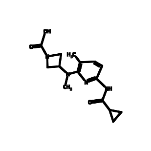 Cc1ccc(NC(=O)C2CC2)nc1N(C)C1CN(C(=O)O)C1